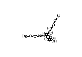 CCOCCOCCOCCNCCNc1ccc(NCCNCCOCCOCCOCC)c2c1C(=O)c1ccc(O)c(O)c1C2=O